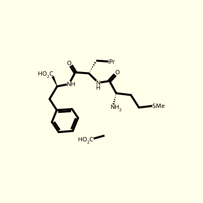 CC(=O)O.CSCC[C@H](N)C(=O)N[C@@H](CC(C)C)C(=O)N[C@@H](Cc1ccccc1)C(=O)O